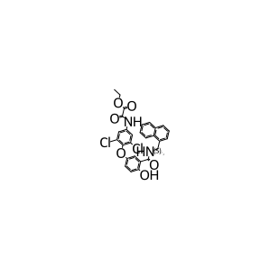 CCOC(=O)C(=O)Nc1cc(Cl)c(Oc2ccc(O)c(C(=O)N[C@@H](C)c3cccc4ccccc34)c2)c(Cl)c1